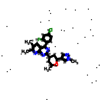 Cc1cc2c(-c3ccc(Cl)cc3F)nc(C3CC(C)OC(c4cnn(C)c4)C3)nc2nc1C